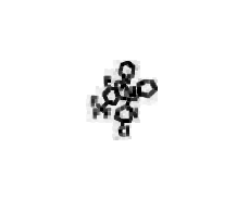 O=C(N[C@@](Cc1ccccc1)(c1cc(F)cc(C(F)(F)F)c1)c1ccc(Cl)cn1)N1CC=CCC1